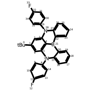 CC(C)(C)c1cc2c3c(c1)N(c1ccc(F)cc1)c1ccccc1B3c1ccccc1N2c1ccc(F)cc1